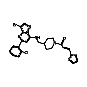 O=C(/C=C/c1cccs1)N1CCC(CNc2cc(-c3ccccc3Cl)nc3c(Br)cnn23)CC1